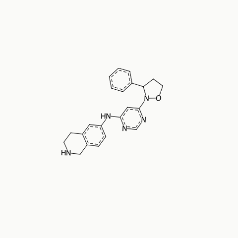 c1ccc(C2CCON2c2cc(Nc3ccc4c(c3)CCNC4)ncn2)cc1